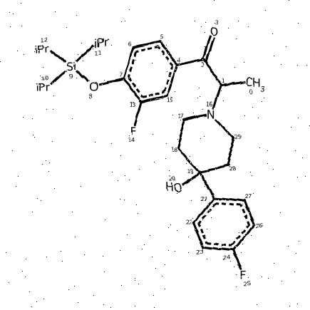 CC(C(=O)c1ccc(O[Si](C(C)C)(C(C)C)C(C)C)c(F)c1)N1CCC(O)(c2ccc(F)cc2)CC1